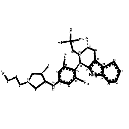 C[C@@H]1CN(CCCF)CC1Nc1cc(F)c([C@@H]2c3[nH]c4ccccc4c3C[C@@H](C)N2CC(F)(F)F)c(F)c1